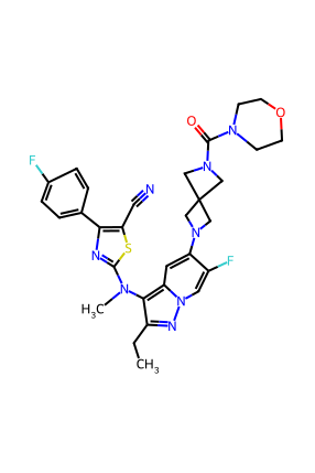 CCc1nn2cc(F)c(N3CC4(CN(C(=O)N5CCOCC5)C4)C3)cc2c1N(C)c1nc(-c2ccc(F)cc2)c(C#N)s1